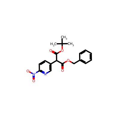 CC(C)(C)OC(=O)C(C(=O)OCc1ccccc1)c1ccc([N+](=O)[O-])nc1